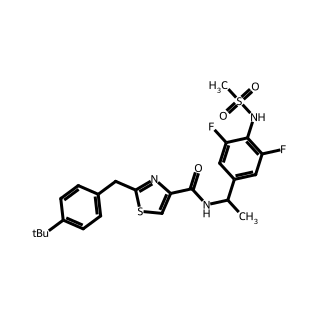 CC(NC(=O)c1csc(Cc2ccc(C(C)(C)C)cc2)n1)c1cc(F)c(NS(C)(=O)=O)c(F)c1